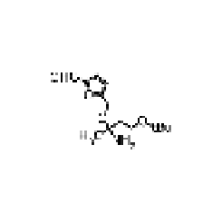 CC(C)(C)OCCC(C)(N)OCc1ccc(C=O)o1